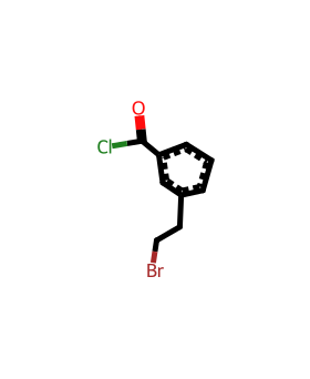 O=C(Cl)c1cccc(CCBr)c1